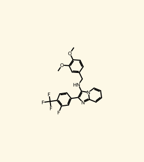 COc1ccc(CNc2c(-c3ccc(C(F)(F)F)c(F)c3)nc3ccccn23)cc1OC